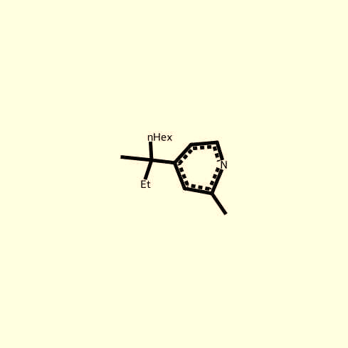 CCCCCCC(C)(CC)c1ccnc(C)c1